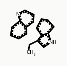 CCc1c[nH]c2ccccc12.c1ccc2ncccc2c1